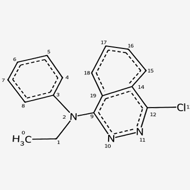 CCN(c1ccccc1)c1nnc(Cl)c2ccccc12